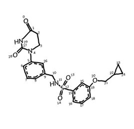 O=C1CCN(c2cccc(CNS(=O)(=O)c3cccc(OCC4CC4)c3)c2)C(=O)N1